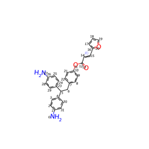 Nc1ccc(C(Cc2ccc(OC(=O)/C=C/c3ccco3)cc2)c2ccc(N)cc2)cc1